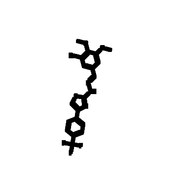 COc1cc(C=NNc2nc(-c3ccc(C(F)(F)F)cc3)cs2)cc(Br)c1OC